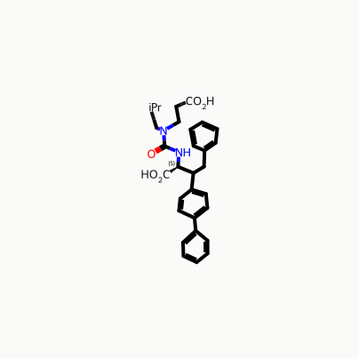 CC(C)CN(CCC(=O)O)C(=O)N[C@H](C(=O)O)C(Cc1ccccc1)c1ccc(-c2ccccc2)cc1